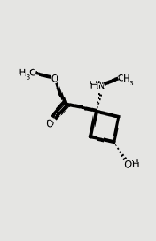 CN[C@]1(C(=O)OC)C[C@H](O)C1